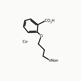 CCCCCCCCCCCCOc1ccccc1C(=O)O.[Co]